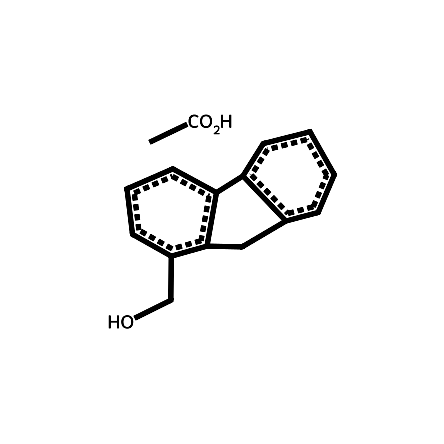 CC(=O)O.OCc1cccc2c1Cc1ccccc1-2